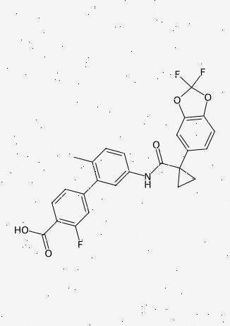 Cc1ccc(NC(=O)C2(c3ccc4c(c3)OC(F)(F)O4)CC2)cc1-c1ccc(C(=O)O)c(F)c1